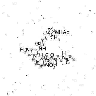 CC(=O)NC1CS[C@@H](CCCCC(=O)NCCN(CCN)Cc2ccc([N+](=O)[O-])c(C(C)OC(=O)NCCNC(=O)CI)c2)C1C